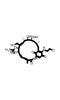 CO[C@H]1/C=C\C=C(/C)C(=O)NC2=CC(=O)C(NCCCl)=C(C[C@@H](C)C[C@H](OC)[C@H](O)[C@@H](C)/C=C(\CO)[C@@H]1OC(N)=O)C2=O